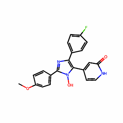 COc1ccc(-c2nc(-c3ccc(F)cc3)c(-c3cc[nH]c(=O)c3)n2O)cc1